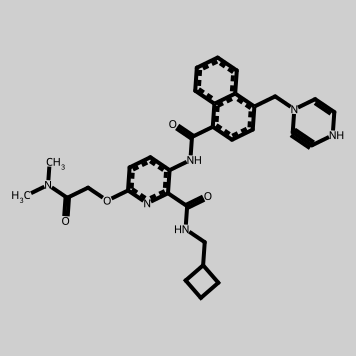 CN(C)C(=O)COc1ccc(NC(=O)c2ccc(CN3C#CNC=C3)c3ccccc23)c(C(=O)NCC2CCC2)n1